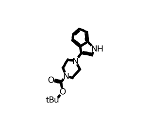 CC(C)(C)OC(=O)N1CCN(c2c[nH]c3ccccc23)CC1